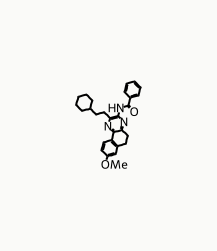 COc1ccc2c(c1)CCc1nc(NC(=O)c3ccccc3)c(CCC3CCCCC3)nc1-2